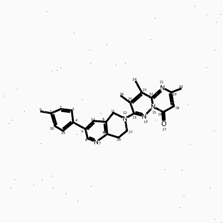 Cc1ccc(-c2cnc3c(c2)CN(c2nn4c(=O)cc(C)nc4c(C)c2C)CC3)cc1